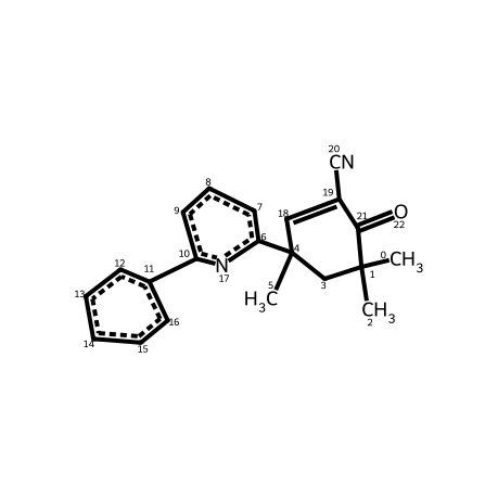 CC1(C)CC(C)(c2cccc(-c3ccccc3)n2)C=C(C#N)C1=O